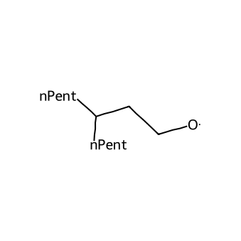 CCCCCC(CC[O])CCCCC